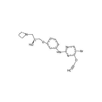 C#COc1nc(Nc2cccc(OC[C@@H](O)CN3CCC3)c2)ncc1Br